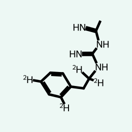 [2H]c1ccc(CC([2H])([2H])NC(=N)NC(C)=N)c([2H])c1